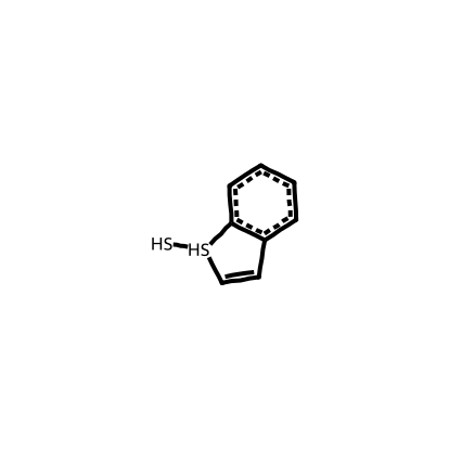 S[SH]1C=Cc2ccccc21